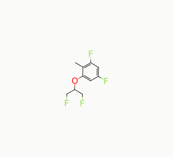 Cc1c(F)cc(F)cc1OC(CF)CF